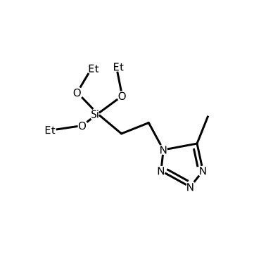 CCO[Si](CCn1nnnc1C)(OCC)OCC